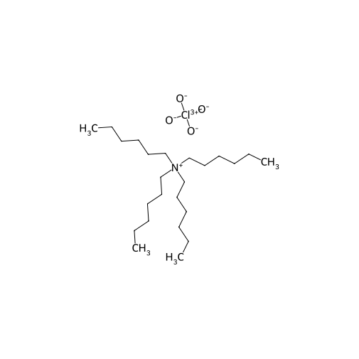 CCCCCC[N+](CCCCCC)(CCCCCC)CCCCCC.[O-][Cl+3]([O-])([O-])[O-]